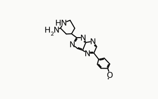 COc1ccc(-c2cnc3nc(C4CCNC(N)C4)ncc3n2)cc1